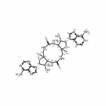 Nc1ncnc2c1ncn2[C@@H]1O[C@@H]2CNC(=S)N[C@H]3[C@@H](O)[C@H](n4cnc5c(N)ncnc54)O[C@@H]3CNC(=S)N[C@H]2[C@H]1O